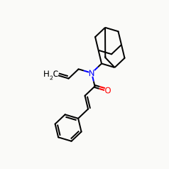 C=CCN(C(=O)/C=C/c1ccccc1)C1C2CC3CC(C2)CC1C3